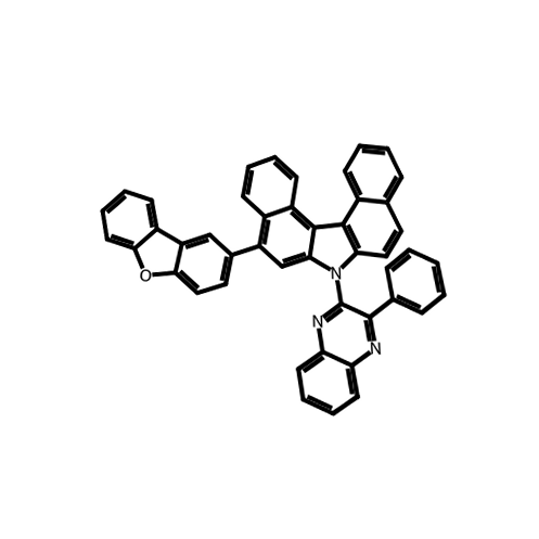 c1ccc(-c2nc3ccccc3nc2-n2c3ccc4ccccc4c3c3c4ccccc4c(-c4ccc5oc6ccccc6c5c4)cc32)cc1